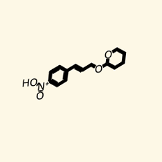 O=[N+](O)c1ccc(/C=C/COC2CCCCO2)cc1